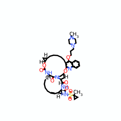 CN1CCN(CCCOc2c3c(nc4ccccc24)O[C@@H]2C[C@H]4C(=O)N[C@]5(C(=O)NS(=O)(=O)C6(C)CC6)C[C@H]5/C=C\CCCCC[C@H](NC(=O)O[C@@H]5C[C@H]5CCCCC3)C(=O)N4C2)CC1